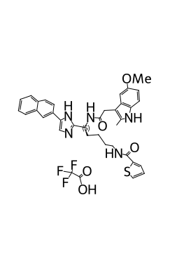 COc1ccc2[nH]c(C)c(CC(=O)N[C@@H](CCCCNC(=O)c3cccs3)c3ncc(-c4ccc5ccccc5c4)[nH]3)c2c1.O=C(O)C(F)(F)F